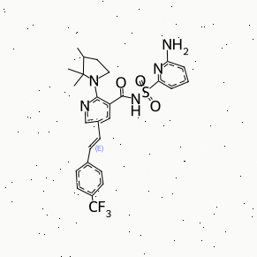 CC1CCN(c2ncc(/C=C/c3ccc(C(F)(F)F)cc3)cc2C(=O)NS(=O)(=O)c2cccc(N)n2)C1(C)C